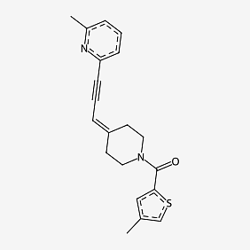 Cc1csc(C(=O)N2CCC(=CC#Cc3cccc(C)n3)CC2)c1